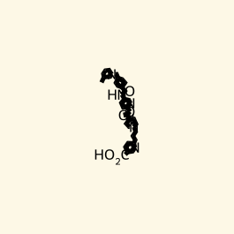 CC1CCCN(Cc2ccc(C(=O)Nc3ccc(OC(=O)N4CCN(CCCc5ccc(C(=O)O)cn5)CC4)nc3)cc2)C1